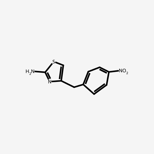 Nc1nc(Cc2ccc([N+](=O)[O-])cc2)cs1